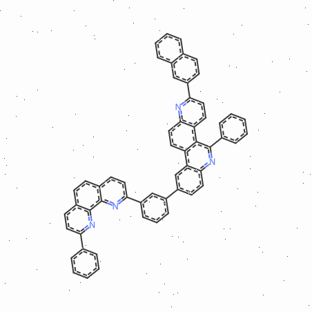 c1ccc(-c2ccc3ccc4ccc(-c5cccc(-c6ccc7nc(-c8ccccc8)c8c9ccc(-c%10ccc%11ccccc%11c%10)nc9ccc8c7c6)c5)nc4c3n2)cc1